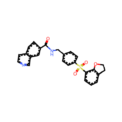 O=C(NCc1ccc(S(=O)(=O)c2cccc3c2OCC3)cc1)c1ccc2ccncc2c1